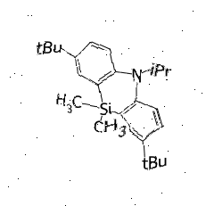 CC(C)N1c2ccc(C(C)(C)C)cc2[Si](C)(C)c2cc(C(C)(C)C)ccc21